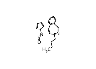 CCCCC1=NSc2ccccc2C=C1.O=S=NC1C=CC=C1